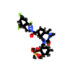 CC1c2ccc(C(=O)NCc3c(F)cc(F)cc3F)cc2N(Cc2c(F)cccc2OS(C)(=O)=O)C(=O)N1C